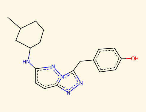 CC1CCCC(Nc2ccc3nnc(Cc4ccc(O)cc4)n3n2)C1